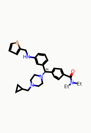 CCN(CC)C(=O)c1ccc([C@H](c2cccc(NCc3cccs3)c2)N2CCN(CC3CC3)CC2)cc1